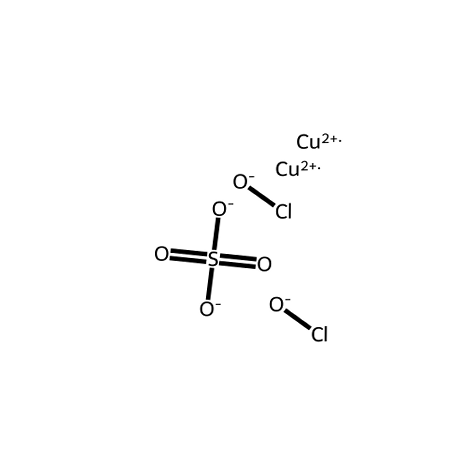 O=S(=O)([O-])[O-].[Cu+2].[Cu+2].[O-]Cl.[O-]Cl